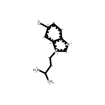 CC(N)CCn1cnc2ccc(Cl)cc21